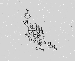 CCC(=O)O[C@]1(C(=O)SCOC)CC[C@H]2[C@@H]3CCC4=Cc5c(cnn5-c5ccc(F)cc5)C[C@]4(C)[C@H]3[C@@H](O)C[C@@]21C